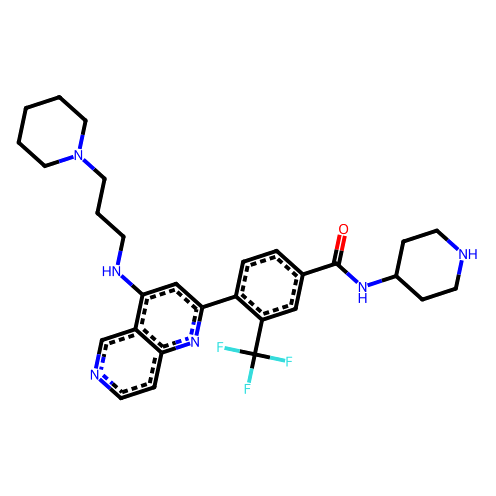 O=C(NC1CCNCC1)c1ccc(-c2cc(NCCCN3CCCCC3)c3cnccc3n2)c(C(F)(F)F)c1